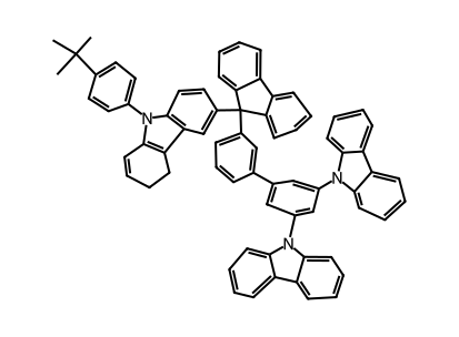 CC(C)(C)c1ccc(-n2c3c(c4cc(C5(c6cccc(-c7cc(-n8c9ccccc9c9ccccc98)cc(-n8c9ccccc9c9ccccc98)c7)c6)c6ccccc6-c6ccccc65)ccc42)CCC=C3)cc1